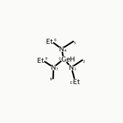 CC[N](C)[GeH]([N](C)CC)[N](C)CC